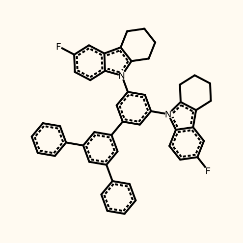 Fc1ccc2c(c1)c1c(n2-c2cc(-c3cc(-c4ccccc4)cc(-c4ccccc4)c3)cc(-n3c4c(c5cc(F)ccc53)CCCC4)c2)CCCC1